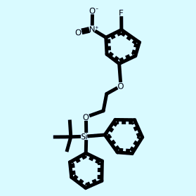 CC(C)(C)[Si](OCCOc1ccc(F)c([N+](=O)[O-])c1)(c1ccccc1)c1ccccc1